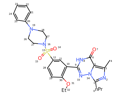 CCCc1nc(C)c2c(=O)[nH]c(-c3cc(S(=O)(=O)N4CCN(c5ccccc5)CC4)ccc3OCC)nn12